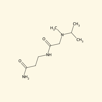 CC(C)N(C)CC(=O)NCCC(N)=O